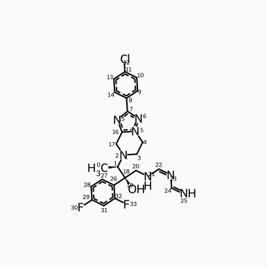 C[C@@H](N1CCn2nc(-c3ccc(Cl)cc3)nc2C1)[C@](O)(CN/C=N\C=N)c1ccc(F)cc1F